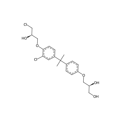 CC(C)(c1ccc(OC[C@@H](O)CO)cc1)c1ccc(OC[C@@H](O)CCl)c(Cl)c1